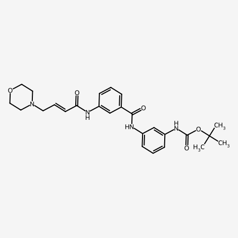 CC(C)(C)OC(=O)Nc1cccc(NC(=O)c2cccc(NC(=O)C=CCN3CCOCC3)c2)c1